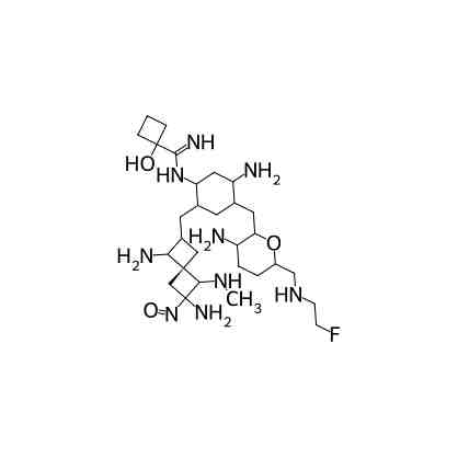 CNC1C(N)(N=O)C[C@@]12CC(CC1CC(CC3OC(CNCCF)CCC3N)C(N)CC1NC(=N)C1(O)CCC1)C2N